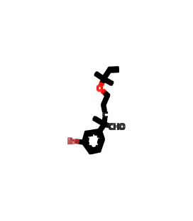 C=CC(C)(C)OCCCC(C)(C=O)c1cccc(Br)c1